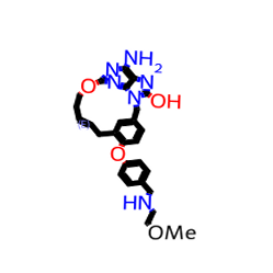 COCCNCc1ccc(Oc2ccc3cc2C/C=C/CCOc2nc(N)c4nc(O)n(c4n2)C3)cc1